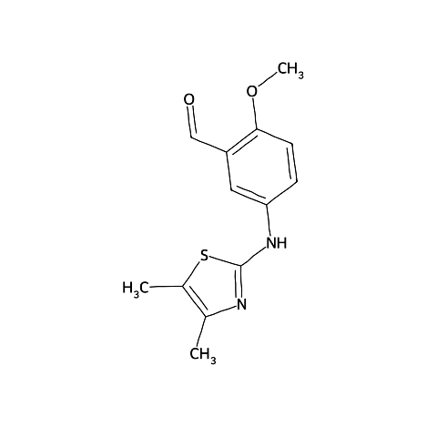 COc1ccc(Nc2nc(C)c(C)s2)cc1C=O